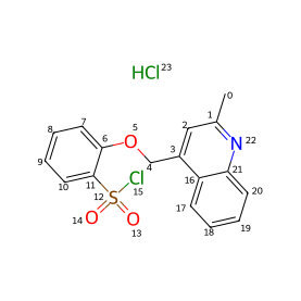 Cc1cc(COc2ccccc2S(=O)(=O)Cl)c2ccccc2n1.Cl